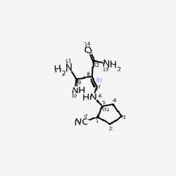 N#CC1CCC[C@@H]1N/C=C(\C(=N)N)C(N)=O